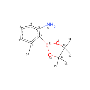 Cc1cccc(N)c1B1OC(C)(C)C(C)(C)O1